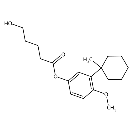 COc1ccc(OC(=O)CCCCO)cc1C1(C)CCCCC1